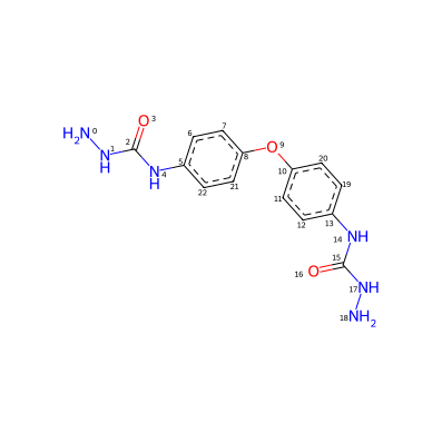 NNC(=O)Nc1ccc(Oc2ccc(NC(=O)NN)cc2)cc1